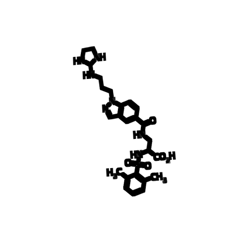 Cc1cccc(C)c1S(=O)(=O)NC(CNC(=O)c1ccc2c(cnn2CCCNC2NCCN2)c1)C(=O)O